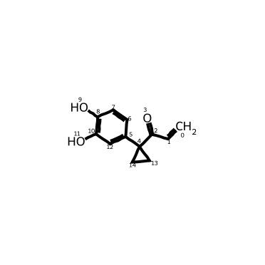 C=CC(=O)C1(c2ccc(O)c(O)c2)CC1